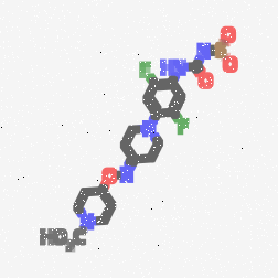 O=C(N=S(=O)=O)Nc1cc(F)c(N2CCC(=NOC3CCN(C(=O)O)CC3)CC2)cc1F